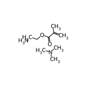 C=C(C)C(=O)OCC.CN(C)C.N